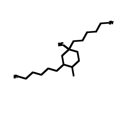 CC(C)CCCCCC1CC(C#N)(CCCCCC(C)C)CCC1C